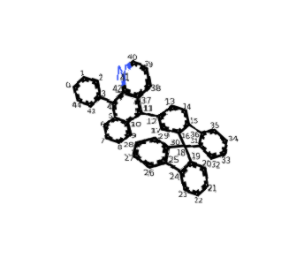 c1ccc(-c2c3ccccc3c(-c3ccc4c(c3)C3(c5ccccc5-c5ccccc53)c3ccccc3-4)c3cccnc23)cc1